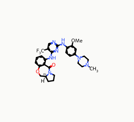 COc1cc(N2CCN(C)CC2)ccc1Nc1ncc(C(F)(F)F)c(Nc2cccc3c2C(=O)N2CCC[C@H]2CO3)n1